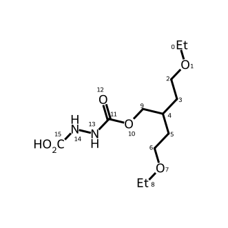 CCOCCC(CCOCC)COC(=O)NNC(=O)O